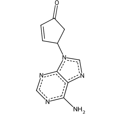 Nc1ncnc2c1ncn2C1C=CC(=O)C1